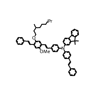 COc1cc(C=Cc2ccccc2)c(OCCC(C)CCCC(C)C)cc1C=Cc1ccc(N(c2ccc(C=Cc3ccccc3)cc2)c2ccc3c(c2)C(C)(C)c2ccccc2-3)cc1